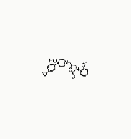 COc1ccc(C2(O)CCN(CC3CN(c4ccccc4OC)C(=O)O3)CC2)cc1